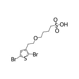 O=S(=O)(O)CCCCOCCc1cc(Br)sc1Br